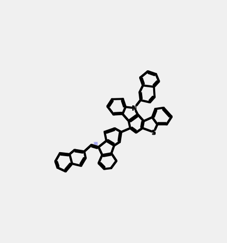 C1=CC2=C(CC1)c1cc(-c3cc4sc5ccccc5c4c4c3c3ccccc3n4-c3ccc4ccccc4c3)ccc1/C2=C/c1ccc2ccccc2c1